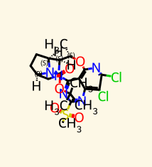 C[C@@H]1Oc2nc(Cl)c(Cl)c3nc(S(C)(=O)=O)nc(c23)N2C[C@H]3CC[C@@H]([C@@H]12)N3C(=O)OC(C)(C)C